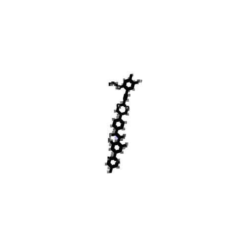 CCCOc1cc(C)c(F)cc1C#CC1OCC(c2ccc(/C(F)=C(\F)c3c(F)cc(-c4ncc(C)cn4)cc3F)cc2)CO1